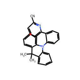 CC1(C)c2ccccc2N(c2ccccc2-c2cccc(C#N)n2)c2ccccc21